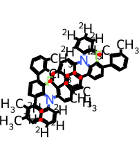 [2H]c1c([2H])c([2H])c(N(c2c(-c3cccc(C)c3C)ccc(-c3cccc(C)c3C)c2F)c2ccc3ccc4c(N(c5c([2H])c([2H])c([2H])c([2H])c5[2H])c5c(-c6cccc(C)c6C)ccc(-c6cccc(C)c6C)c5F)ccc5ccc2c3c54)c([2H])c1[2H]